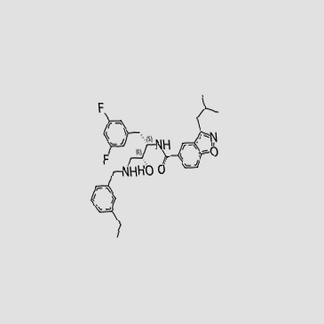 CCc1cccc(CNC[C@@H](O)[C@H](Cc2cc(F)cc(F)c2)NC(=O)c2ccc3onc(CC(C)C)c3c2)c1